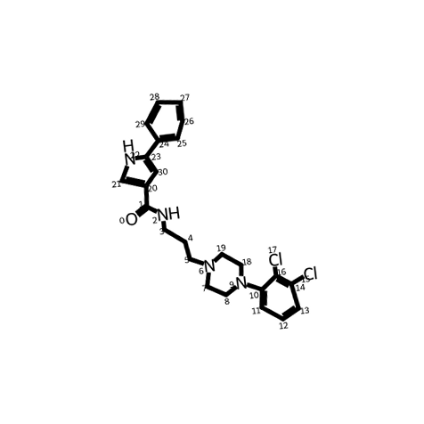 O=C(NCCCN1CCN(c2cccc(Cl)c2Cl)CC1)c1c[nH]c(-c2ccccc2)c1